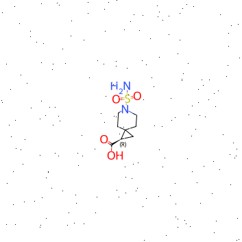 NS(=O)(=O)N1CCC2(CC1)C[C@H]2C(=O)O